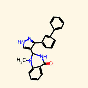 CN1c2ccccc2C(=O)NC1c1c[nH]nc1-c1cccc(-c2ccccc2)c1